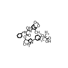 CCC(OC(=O)N(Cc1ccccc1)C(=O)Nc1cc2cc(c1C)OCO2)c1cc(-c2ccc(OC(C)(C)C(=O)O)cc2)no1